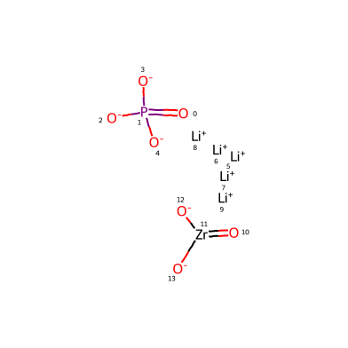 O=P([O-])([O-])[O-].[Li+].[Li+].[Li+].[Li+].[Li+].[O]=[Zr]([O-])[O-]